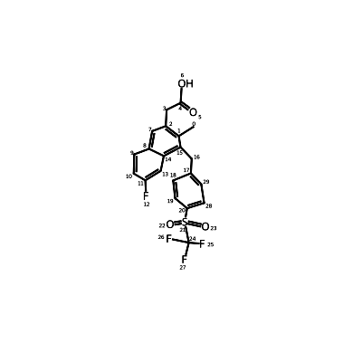 Cc1c(CC(=O)O)cc2ccc(F)cc2c1Cc1ccc(S(=O)(=O)C(F)(F)F)cc1